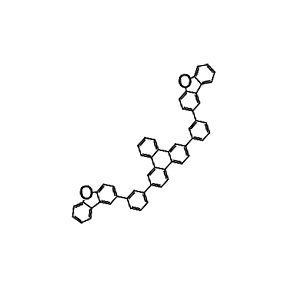 c1cc(-c2ccc3oc4ccccc4c3c2)cc(-c2ccc3c4ccc(-c5cccc(-c6ccc7oc8ccccc8c7c6)c5)cc4c4ccccc4c3c2)c1